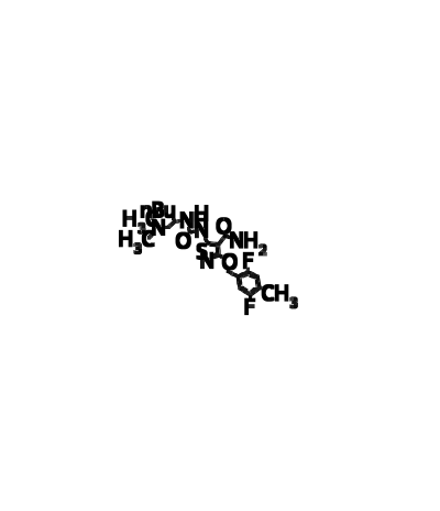 CCCCC(CN(C)C)NC(=O)Nc1snc(OCc2cc(F)c(C)cc2F)c1C(N)=O